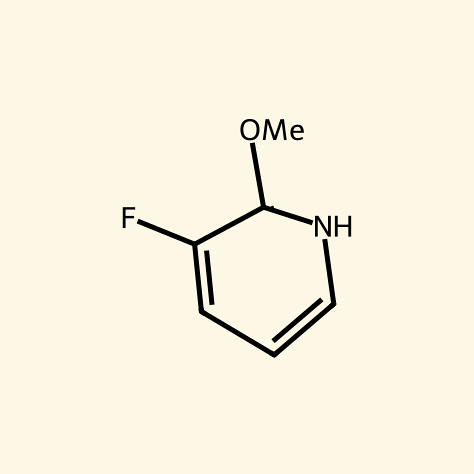 CO[C]1NC=CC=C1F